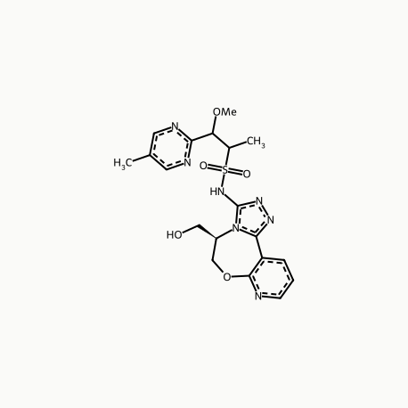 COC(c1ncc(C)cn1)C(C)S(=O)(=O)Nc1nnc2n1[C@H](CO)COc1ncccc1-2